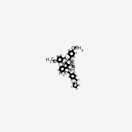 COc1ccc(CN(Cc2ccc(OC)cc2)c2nc3ccccc3c(NC(C)c3ccc(CN4CCCC4)cc3)c2[N+](=O)[O-])cc1